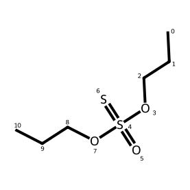 CCCOS(=O)(=S)OCCC